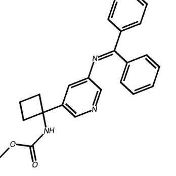 CC(C)(C)OC(=O)NC1(c2cncc(N=C(c3ccccc3)c3ccccc3)c2)CCC1